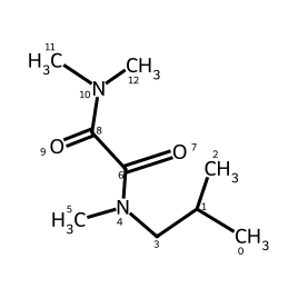 CC(C)CN(C)C(=O)C(=O)N(C)C